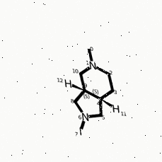 CN1CC[C@@H]2CN(I)C[C@@H]2C1